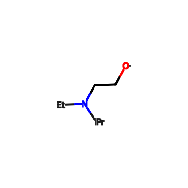 CCN(CC[O])C(C)C